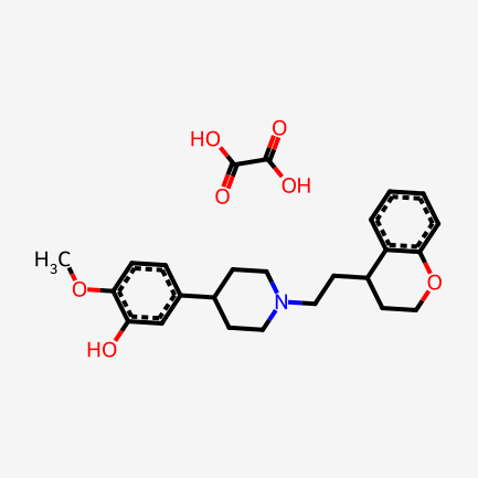 COc1ccc(C2CCN(CCC3CCOc4ccccc43)CC2)cc1O.O=C(O)C(=O)O